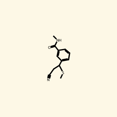 CNC(=O)c1cccc(C(CC#N)SC)c1